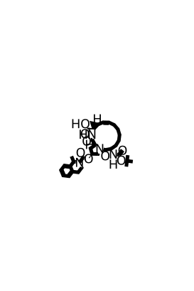 CC1c2ccccc2CCN1C(=O)O[C@@H]1C[C@H]2C(=O)N[C@]3(C(=O)O)C[C@H]3/C=C\CCCCC[C@H](NC(=O)OC(C)(C)C)C(=O)N2C1